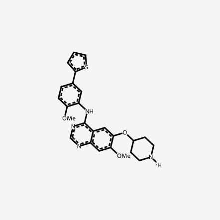 [2H]N1CCC(Oc2cc3c(Nc4cc(-c5cccs5)ccc4OC)ncnc3cc2OC)CC1